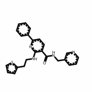 O=C(NCc1cccnc1)c1ccc(-c2ccccc2)nc1NCCc1cccs1